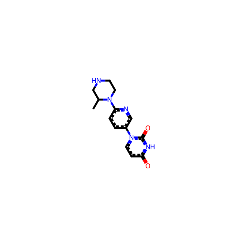 CC1CNCCN1c1ccc(-n2ccc(=O)[nH]c2=O)cn1